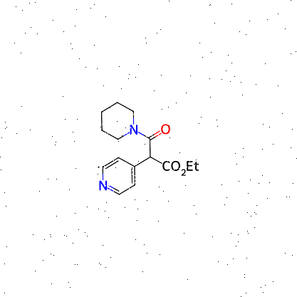 CCOC(=O)C(C(=O)N1CCCCC1)c1c[c]ncc1